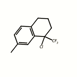 Cc1ccc2c(c1)C(Cl)(C(F)(F)F)CCC2